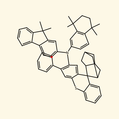 CC1(C)CCC(C)(C)c2cc(N(c3ccc4c(c3)C(C)(C)c3ccccc3-4)c3cc4c(cc3-c3ccccc3)Sc3ccccc3C43C4CC5CC(C4)C3C5)ccc21